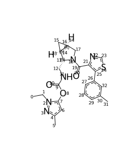 CCn1nc(C)cc1OC(=O)NC[C@@H]1[C@H]2C[C@H]2CN1C(=O)c1ncsc1-c1cccc(C)c1